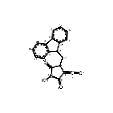 O=C=C1C(=O)N(O)C(=O)C1CC1c2ccccc2-c2ccccc21